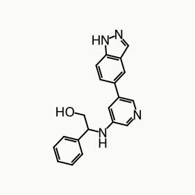 OCC(Nc1cncc(-c2ccc3[nH]ncc3c2)c1)c1ccccc1